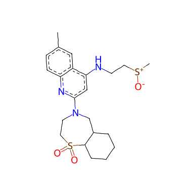 Cc1ccc2nc(N3CCS(=O)(=O)C4CCCCC4C3)cc(NCC[S+](C)[O-])c2c1